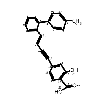 Cc1ccc(-c2ccccc2C=CC#Cc2ccc(C(=O)O)c(O)c2)cc1